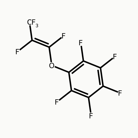 F/C(Oc1c(F)c(F)c(F)c(F)c1F)=C(/F)C(F)(F)F